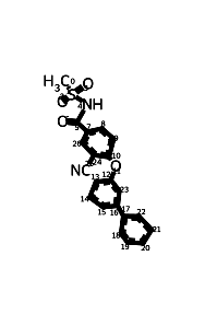 CS(=O)(=O)NC(=O)c1ccc(Oc2cccc(-c3ccccc3)c2)c(C#N)c1